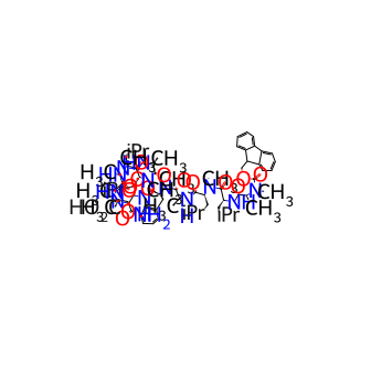 CC(C)C[C@H](NC(=O)[C@H](C)N(C)C(=O)CNC(=O)[C@H](Cc1ccccc1)N(C)C(=O)[C@H](C)NC(=O)[C@H](CC(C)C)N(C)C(=O)[C@H](CC(C)C)NC(=O)[C@H](C)N(C)C(=O)OCC1c2ccccc2-c2ccccc21)C(=O)N[C@@H](C)C(=O)N(C)[C@@H](CC(C)C)C(=O)N(C)[C@@H](C)C(=O)N[C@@H](CC(N)=O)C(=O)O